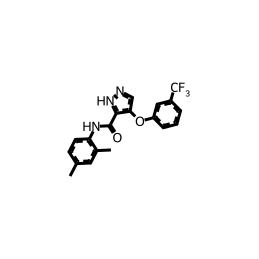 Cc1ccc(NC(=O)c2[nH]ncc2Oc2cccc(C(F)(F)F)c2)c(C)c1